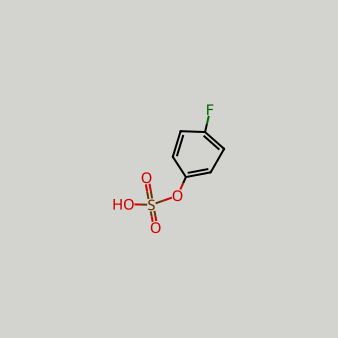 O=S(=O)(O)Oc1ccc(F)cc1